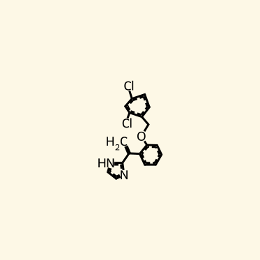 C=C(c1ncc[nH]1)c1ccccc1OCc1ccc(Cl)cc1Cl